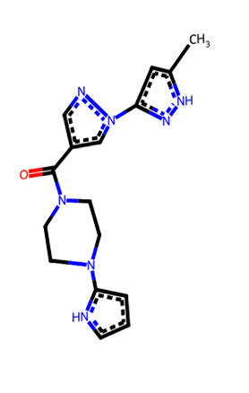 Cc1cc(-n2cc(C(=O)N3CCN(c4ccc[nH]4)CC3)cn2)n[nH]1